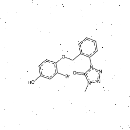 Cn1nnn(-c2ccccc2COc2ccc(O)cc2Br)c1=O